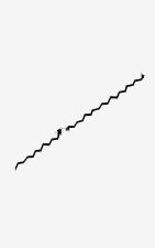 CCCCCCCCCCCCCCCCCCCOC(=O)CCCCCCCCCCCC